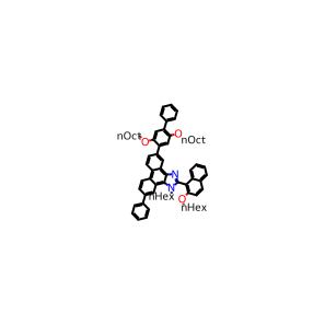 CCCCCCCCOc1cc(-c2ccc3c4ccc(-c5ccccc5)cc4c4c(nc(-c5c(OCCCCCC)ccc6ccccc56)n4CCCCCC)c3c2)c(OCCCCCCCC)cc1-c1ccccc1